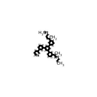 C=C(/C=C\C=N/C)c1cccc(-c2cc(-c3cccc(-c4cccnc4)c3)cc(C3CCC=C(/C(C)=C/N=C\CC)C3)c2)c1